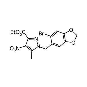 CCOC(=O)c1nn(Cc2cc3c(cc2Br)OCO3)c(C)c1[N+](=O)[O-]